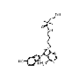 CC(C)(CCO)C(=O)NCCCCn1nc(-c2cc3cc(O)ccc3[nH]2)c2c(N)ncnc21